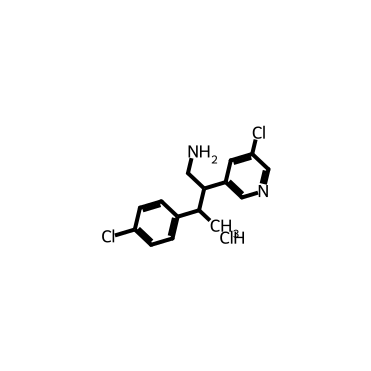 CC(c1ccc(Cl)cc1)C(CN)c1cncc(Cl)c1.Cl